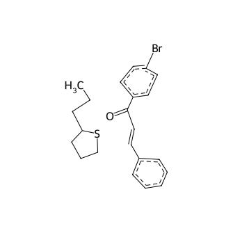 CCCC1CCCS1.O=C(C=Cc1ccccc1)c1ccc(Br)cc1